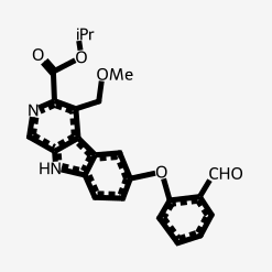 COCc1c(C(=O)OC(C)C)ncc2[nH]c3ccc(Oc4ccccc4C=O)cc3c12